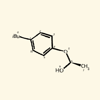 CCC(C)c1ccc(O[C@@H](C)O)cc1